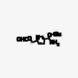 CC(C)(C)OC(N)c1ccc(COC=O)nc1